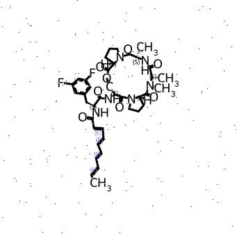 C/C=C/C=C/C=C/C=C/C(=O)N[C@@H](Cc1cc(F)cc(F)c1)C(=O)N[C@H]1COC(=O)[C@@H]2CCCN2C(=O)[C@H](C)NC(=O)[C@H](C)N(C)C(=O)[C@@H]2CCCN2C1=O